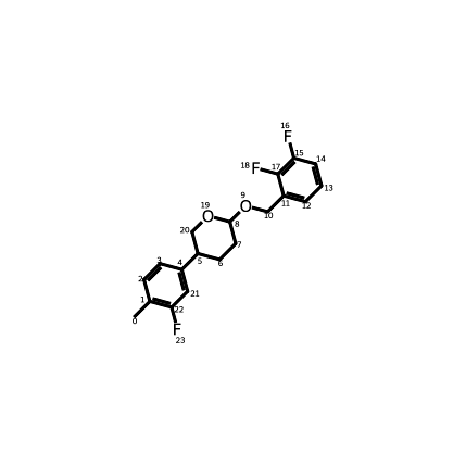 Cc1ccc(C2CCC(OCc3cccc(F)c3F)OC2)cc1F